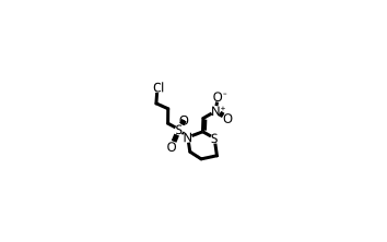 O=[N+]([O-])/C=C1\SCCCN1S(=O)(=O)CCCCl